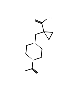 CC(=O)N1CCN(CC2(C(=O)O)CC2)CC1